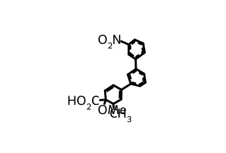 COC1(C(=O)O)C=CC(c2cccc(-c3cccc([N+](=O)[O-])c3)c2)=CC1C